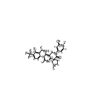 Cc1nc(N[C@H](C)c2cccc(C(F)(F)F)c2F)c2c(n1)C1(CCN(C)C1)C(=O)N(c1ccn(C)c(=O)c1)C2